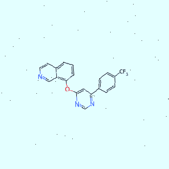 FC(F)(F)c1ccc(-c2cc(Oc3cccc4ccncc34)ncn2)cc1